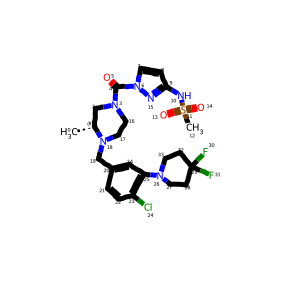 C[C@@H]1CN(C(=O)n2ccc(NS(C)(=O)=O)n2)CCN1Cc1ccc(Cl)c(N2CCC(F)(F)CC2)c1